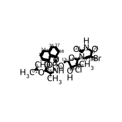 CC(C)OC(=O)[C@@H](C)N[P@@](=O)(OC[C@H]1OC(n2cc(Br)c(=O)[nH]c2=O)[C@](C)(Cl)[C@@H]1O)Oc1cccc2ccccc12